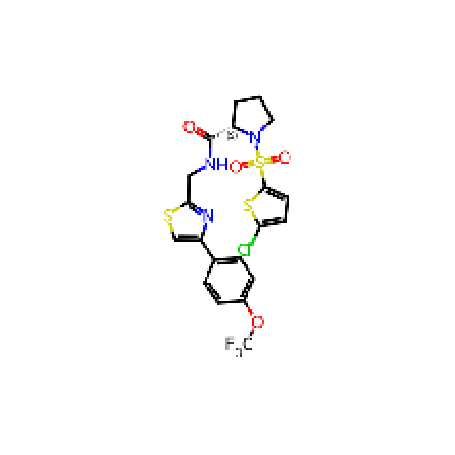 O=C(NCc1nc(-c2ccc(OC(F)(F)F)cc2)cs1)[C@@H]1CCCN1S(=O)(=O)c1ccc(Cl)s1